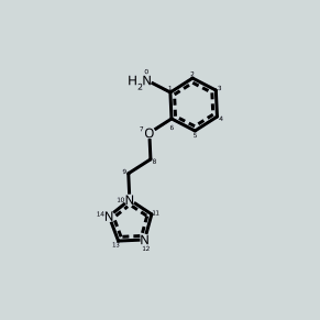 Nc1ccccc1OCCn1cncn1